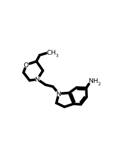 CCC1CN(CCN2CCc3ccc(N)cc32)CCO1